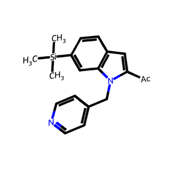 CC(=O)c1cc2ccc([Si](C)(C)C)cc2n1Cc1ccncc1